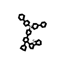 c1ccc(-c2ccc(N(c3ccc(-c4ccccc4)cc3)c3ccc(-c4ccc(-c5ccccc5)c(-c5cccc6c5sc5ccccc56)c4)cc3)cc2)cc1